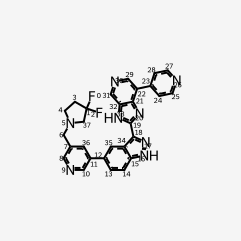 FC1(F)CCN(Cc2cncc(-c3ccc4[nH]nc(-c5nc6c(-c7ccncc7)cncc6[nH]5)c4c3)c2)C1